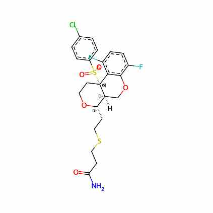 NC(=O)CCSCC[C@@H]1OCC[C@@]2(S(=O)(=O)c3ccc(Cl)cc3)c3c(F)ccc(F)c3OC[C@@H]12